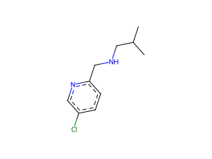 CC(C)CNCc1ccc(Cl)cn1